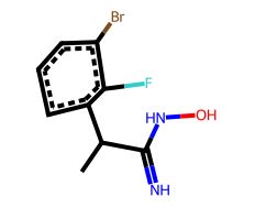 CC(C(=N)NO)c1cccc(Br)c1F